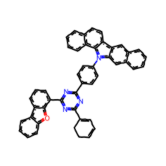 C1=CCCC(c2nc(-c3ccc(-n4c5cc6ccccc6cc5c5ccc6ccccc6c54)cc3)nc(-c3cccc4c3oc3ccccc34)n2)=C1